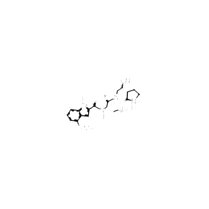 COc1cccc2[nH]c(C(=O)N[C@@H](CC(C)(C)C)C(=O)NCC(C#N)[C@@H]3CCNC3=O)cc12